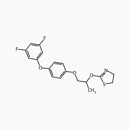 CC(COc1ccc(Oc2cc(F)cc(F)c2)cc1)OC1=NCCS1